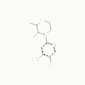 CC1OCCN(c2cc(N)c(Cl)cn2)C1C